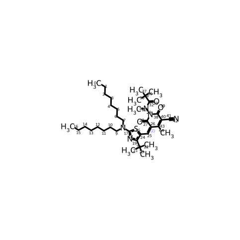 CCCCCCCCN(CCCCCCCC)c1nc(C(C)(C)C)c(/C=C2\C(=O)N(N(C)C(=O)C(C)(C)C)C(=O)C(C#N)=C2C)s1